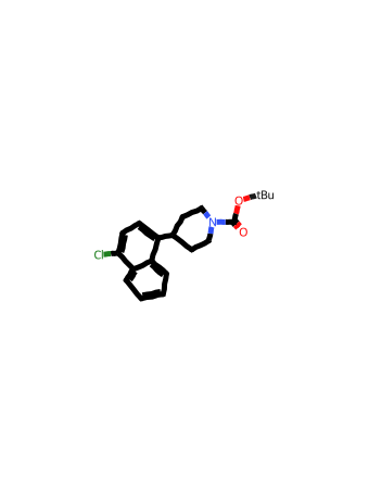 CC(C)(C)OC(=O)N1CCC(c2ccc(Cl)c3ccccc23)CC1